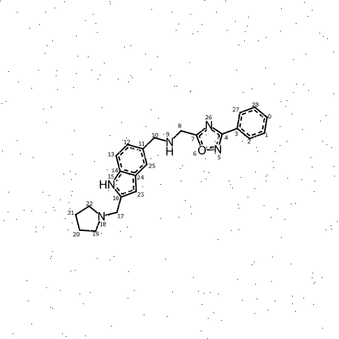 c1ccc(-c2noc(CNCc3ccc4[nH]c(CN5CCCC5)cc4c3)n2)cc1